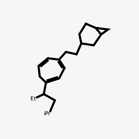 CCC(CC(C)C)C1=CC=C(CCC2CCC3CC3C2)C=CC1